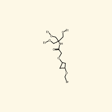 CCOCC(COCC)(COCC)NC(=O)COC1CC(OCBr)C1